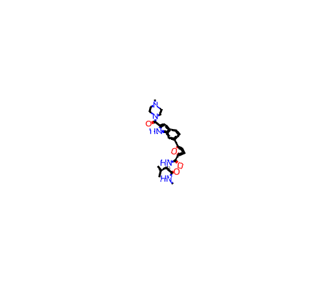 CNC(=O)[C@@H](NC(=O)c1ccc(-c2ccc3cc(C(=O)N4CCN(C)CC4)[nH]c3c2)o1)C(C)C